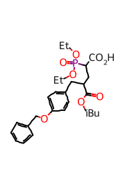 CCOP(=O)(OCC)C(CC(Cc1ccc(OCc2ccccc2)cc1)C(=O)OC(C)CC)C(=O)O